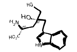 N[C@H](C[C@@](O)(CO)Cc1c[nH]c2ccccc12)C(=O)O